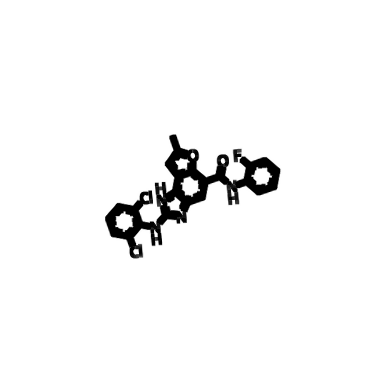 Cc1cc2c(o1)c(C(=O)Nc1ccccc1F)cc1nc(Nc3c(Cl)cccc3Cl)[nH]c12